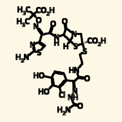 CC(C)(O/N=C(\C(=O)NC1C(=O)N2C[C@](SCCNC(=O)/C(=N/NC(N)=O)c3ccc(O)c(O)c3Cl)(C(=O)O)S[C@H]12)c1csc(N)n1)C(=O)O